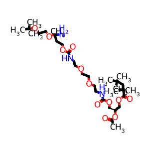 CC(=O)O[C@@H](COC(=O)NCCOCCOCCNC(=O)OCCC(C)(N)OCCOC(C)(C)C)COC(=O)C(C)(C)CC(C)(C)C